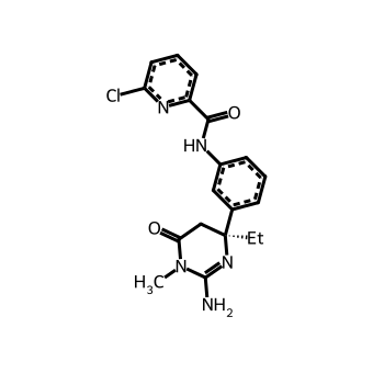 CC[C@@]1(c2cccc(NC(=O)c3cccc(Cl)n3)c2)CC(=O)N(C)C(N)=N1